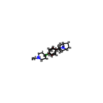 CC(C)N1CCC(c2ccc(C(C)(C)N3C4CCC3CC(c3ccc(F)cc3)C4)cc2)CC1